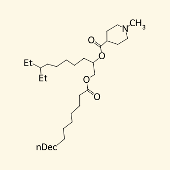 CCCCCCCCCCCCCCCCC(=O)OCC(CCCCCC(CC)CC)OC(=O)C1CCN(C)CC1